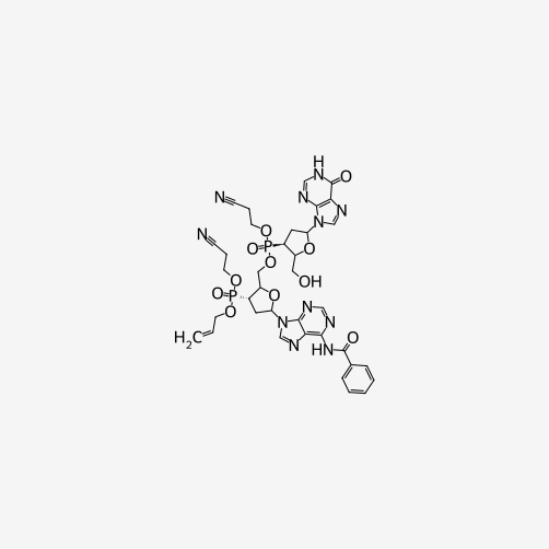 C=CCOP(=O)(OCCC#N)[C@H]1CC(n2cnc3c(NC(=O)c4ccccc4)ncnc32)OC1COP(=O)(OCCC#N)[C@H]1CC(n2cnc3c(=O)[nH]cnc32)OC1CO